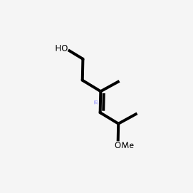 COC(C)/C=C(\C)CCO